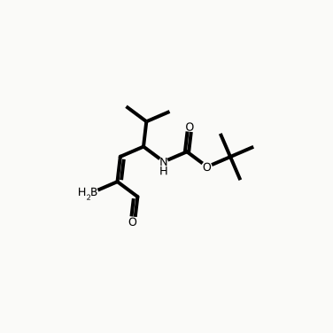 B/C(C=O)=C/C(NC(=O)OC(C)(C)C)C(C)C